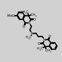 COc1ccc2c(c1)C(=O)N(CCN(C)CCCN1C(=O)c3ccccc3C(C)(C)C1=O)C(=O)C2(C)C